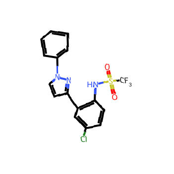 O=S(=O)(Nc1ccc(Cl)cc1-c1ccn(-c2ccccc2)n1)C(F)(F)F